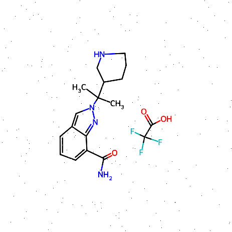 CC(C)(C1CCCNC1)n1cc2cccc(C(N)=O)c2n1.O=C(O)C(F)(F)F